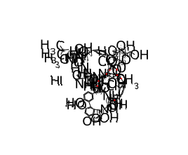 CN[C@H](CC(C)C)C(=O)N[C@H]1C(=O)N[C@@H](CC(N)=O)C(=O)N[C@H]2C(=O)N[C@H]3C(=O)N[C@H](C(=O)N[C@@H](C(=O)O)c4cc(O)cc(O)c4-c4cc3ccc4O)[C@H](O)c3ccc(c(Cl)c3)Oc3cc2cc(c3O[C@@H]2O[C@H](CO)[C@@H](O)[C@H](O)[C@H]2O[C@H]2C[C@](C)(N)C(O)[C@H](C)O2)Oc2ccc(cc2Cl)[C@H]1O.I